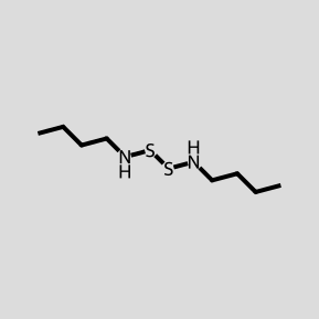 CCCCNSSNCCCC